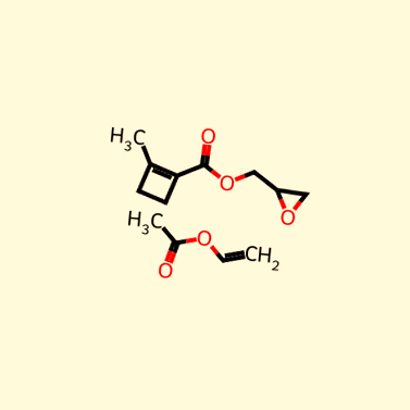 C=COC(C)=O.CC1=C(C(=O)OCC2CO2)CC1